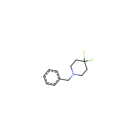 FC1(F)CCN(Cc2ccccc2)CC1